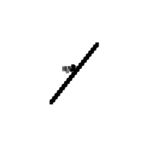 CCCCCCCCCCCCCCCCCCCCCC(CCCCCCCCCCCCCCCCCC)C(CC)CN